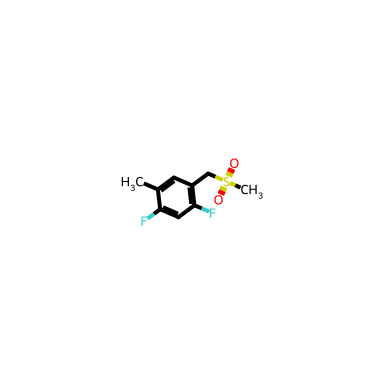 Cc1cc(CS(C)(=O)=O)c(F)cc1F